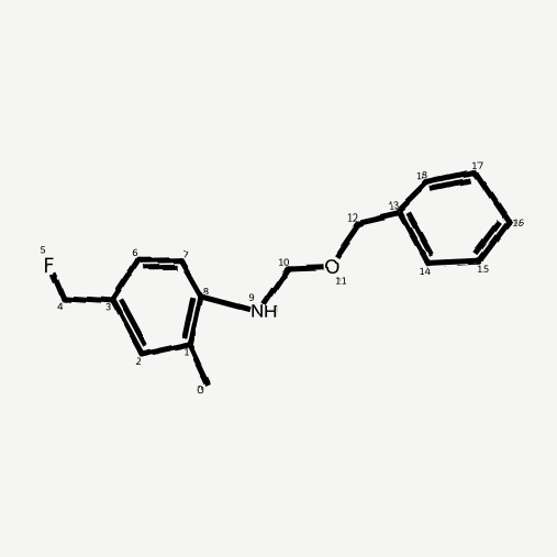 Cc1cc(CF)ccc1NCOCc1ccccc1